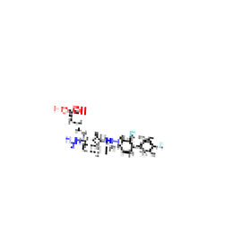 NC(CCCCB(O)O)(C(=O)O)[C@H]1C[C@@H](NCc2ccc(-c3ccc(F)cc3)c(F)c2)C1